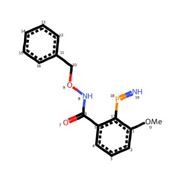 COc1cccc(C(=O)NOCc2ccccc2)c1P=N